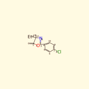 C=C1OC(c2ccc(Cl)cc2)=NC1(C)CC